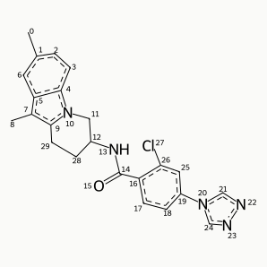 Cc1ccc2c(c1)c(C)c1n2CC(NC(=O)c2ccc(-n3cnnc3)cc2Cl)CC1